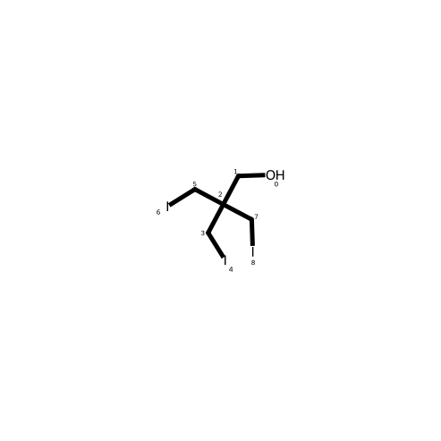 OCC(CI)(CI)CI